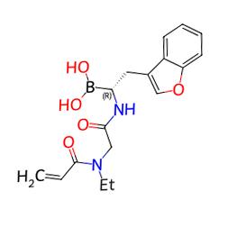 C=CC(=O)N(CC)CC(=O)N[C@@H](Cc1coc2ccccc12)B(O)O